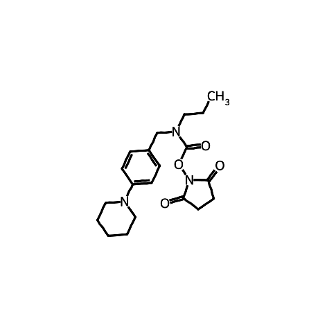 CCCN(Cc1ccc(N2CCCCC2)cc1)C(=O)ON1C(=O)CCC1=O